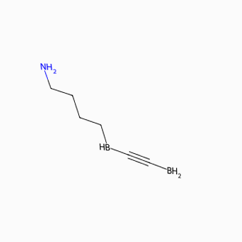 BC#CBCCCCN